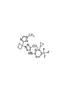 Cc1nn(C2(c3ncn(C)n3)CCC2)cc1Nc1ncc(C(F)(F)F)c(C2CC2)n1